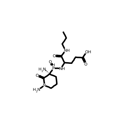 CCCNC(=O)C(CCC(=O)O)N[PH](=O)[C@@]1(N)CCCN(N)C1=O